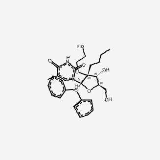 CCCC[C@@]1(OCCO)[C@H](O)[C@@H](CO)O[C@]1(n1cc(C)c(=O)[nH]c1=O)[SiH](c1ccccc1)c1ccccc1